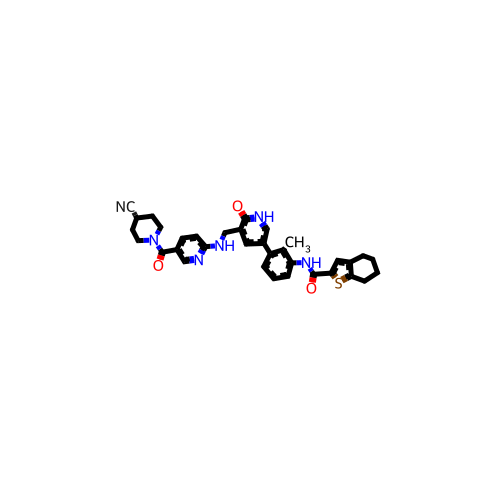 Cc1c(NC(=O)c2cc3c(s2)CCCC3)cccc1-c1c[nH]c(=O)c(CNc2ccc(C(=O)N3CCC(C#N)CC3)cn2)c1